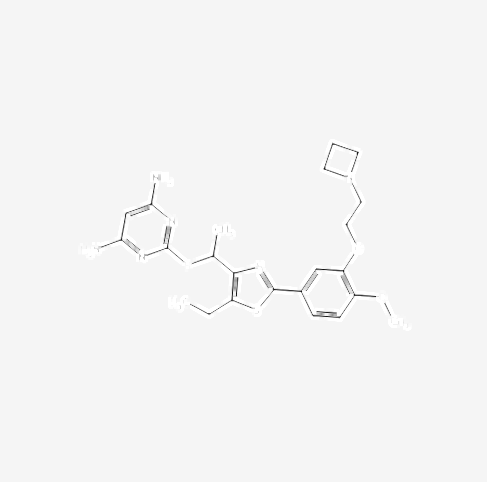 CCc1sc(-c2ccc(OC)c(OCCN3CCC3)c2)nc1C(C)Sc1nc(N)cc(N)n1